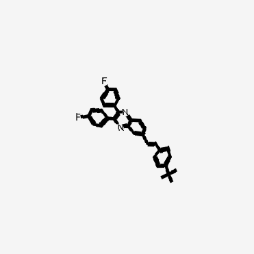 CC(C)(C)c1ccc(/C=C/c2ccc3nc(-c4ccc(F)cc4)c(-c4ccc(F)cc4)nc3c2)cc1